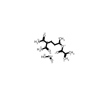 C=C(C)C(=O)OC(C)CCC(C(N)=O)C(N)=O.O=NO